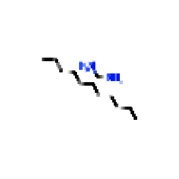 CCCCCCCCCCC.NCN